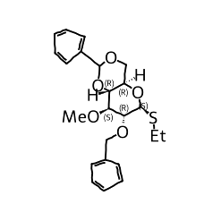 CCS[C@@H]1O[C@@H]2COC(c3ccccc3)O[C@H]2[C@H](OC)[C@H]1OCc1ccccc1